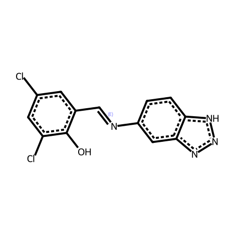 Oc1c(Cl)cc(Cl)cc1/C=N/c1ccc2[nH]nnc2c1